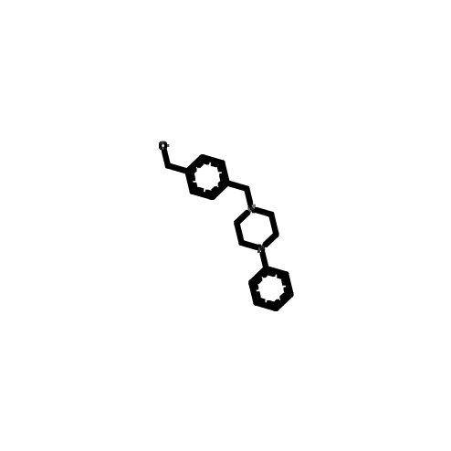 [O]Cc1ccc(CN2CCN(c3ccccc3)CC2)cc1